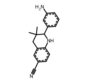 CC1(C)Cc2cc(C#N)ccc2NC1c1cccc(N)c1